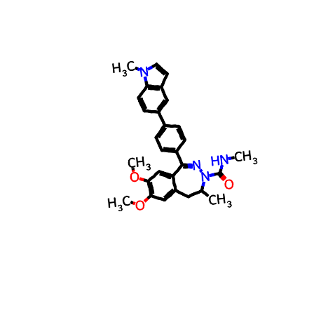 CNC(=O)N1N=C(c2ccc(-c3ccc4c(ccn4C)c3)cc2)c2cc(OC)c(OC)cc2CC1C